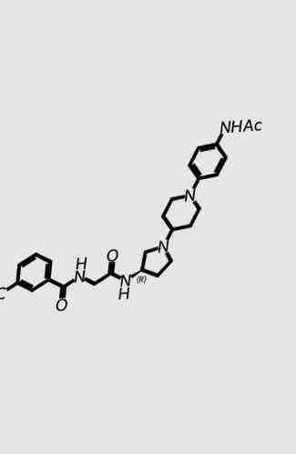 CC(=O)Nc1ccc(N2CCC(N3CC[C@@H](NC(=O)CNC(=O)c4cccc(C(F)(F)F)c4)C3)CC2)cc1